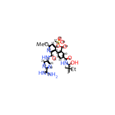 CCC(C)(C)C(O)NC(=O)c1ccc(-c2ccc(OC)nc2C(=O)Nc2cnc(C(=N)N)nc2)c(C(=O)OS(C)(=O)=O)c1